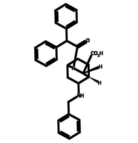 O=C(O)[C@@H]1[C@H]2CCC(CC2NCc2ccccc2)N1C(=O)C(c1ccccc1)c1ccccc1